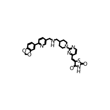 O=C1NC(=O)/C(=C/c2ccnc(N3CCC(CNCc4ccc(-c5ccc6c(c5)OCO6)nc4)CC3)n2)S1